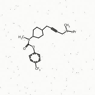 CCCN(C)CC#CCC1CCC(N(C)C(=O)Oc2ccc(C(F)(F)F)cc2)CC1